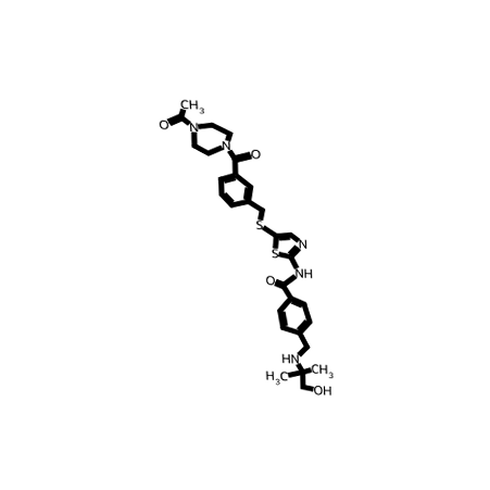 CC(=O)N1CCN(C(=O)c2cccc(CSc3cnc(NC(=O)c4ccc(CNC(C)(C)CO)cc4)s3)c2)CC1